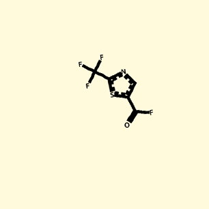 O=C(F)c1cnc(C(F)(F)F)s1